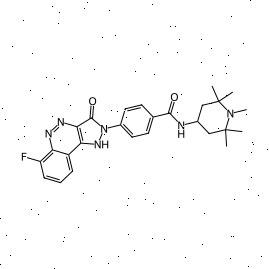 CN1C(C)(C)CC(NC(=O)c2ccc(-n3[nH]c4c(nnc5c(F)cccc54)c3=O)cc2)CC1(C)C